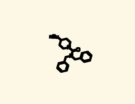 CCCCC1CCN(C(=O)N(Cc2ccccc2)Cc2ccccc2)CC1